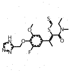 CCN(C)C(=O)/C(SC=S)=C(\C)c1cc(F)c(OCc2nnc[nH]2)c(OC)c1